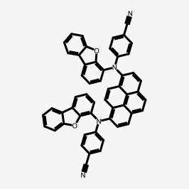 N#Cc1ccc(N(c2ccc3ccc4ccc(N(c5ccc(C#N)cc5)c5cccc6c5oc5ccccc56)c5ccc2c3c45)c2cccc3c2oc2ccccc23)cc1